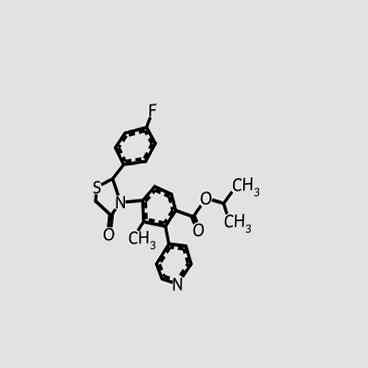 Cc1c(N2C(=O)CSC2c2ccc(F)cc2)ccc(C(=O)OC(C)C)c1-c1ccncc1